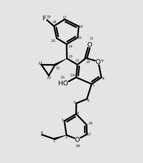 CC[C@H]1C=C(CCc2coc(=O)c([C@H](c3cccc(F)c3)C3CC3)c2O)C=CO1